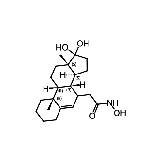 C[C@]12CCCCC1=CC(CC(=O)NO)[C@@H]1[C@H]2CC[C@@]2(C)[C@H]1CCC2(O)O